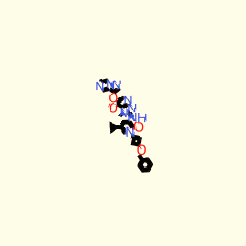 COc1c(Oc2cnn3ccncc23)cnc2nc(Nc3cc(C4CC4)cn([C@H]4C[C@@H](OCc5ccccc5)C4)c3=O)n(C)c12